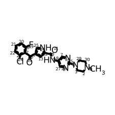 CN1CCN(c2ncc(NC(=O)c3cc(C(=O)c4c(F)cccc4Cl)c[nH]3)cn2)CC1